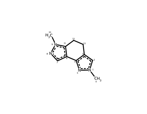 Cn1cc2c(n1)-c1cnn(C)c1CC2